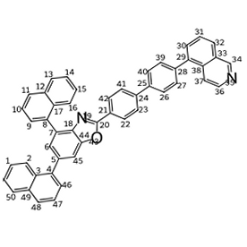 c1ccc2c(-c3cc(-c4cccc5ccccc45)c4nc(-c5ccc(-c6ccc(-c7cccc8cnccc78)cc6)cc5)oc4c3)cccc2c1